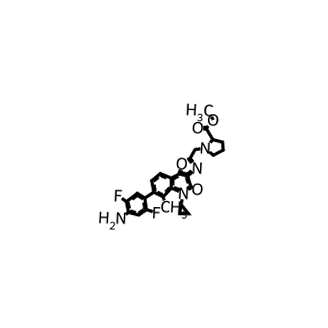 COC(=O)C1CCCN1Cc1nc2c(=O)n(C3CC3)c3c(C)c(-c4cc(F)c(N)cc4F)ccc3c2o1